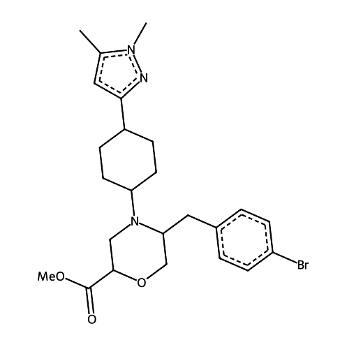 COC(=O)C1CN(C2CCC(c3cc(C)n(C)n3)CC2)C(Cc2ccc(Br)cc2)CO1